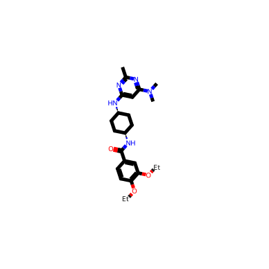 CCOc1ccc(C(=O)N[C@H]2CC[C@@H](Nc3cc(N(C)C)nc(C)n3)CC2)cc1OCC